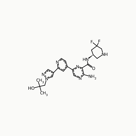 CC(C)(O)Cn1cc(-c2cc(-c3cnc(N)c(C(=O)N[C@@H]4CNCC(F)(F)C4)n3)ccn2)cn1